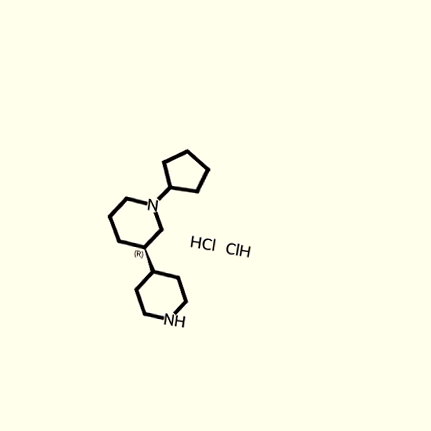 C1CCC(N2CCC[C@H](C3CCNCC3)C2)C1.Cl.Cl